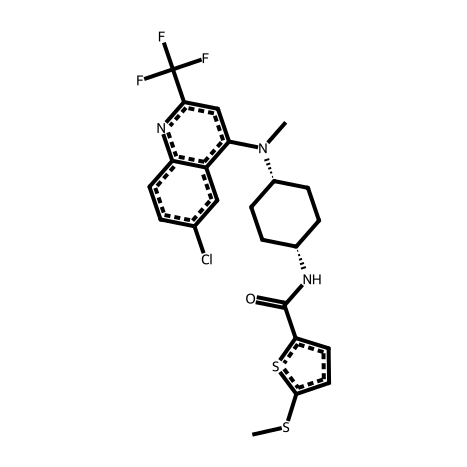 CSc1ccc(C(=O)N[C@H]2CC[C@@H](N(C)c3cc(C(F)(F)F)nc4ccc(Cl)cc34)CC2)s1